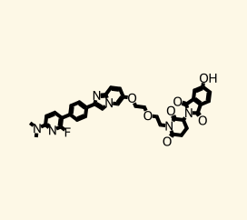 CN(C)c1ccc(-c2ccc(-c3cn4cc(OCCOCCN5C(=O)CCC(N6C(=O)c7ccc(O)cc7C6=O)C5=O)ccc4n3)cc2)c(F)n1